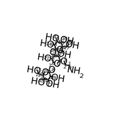 NCCO[C@@H]1O[C@H](CO[C@H]2O[C@H](CO)[C@@H](O)[C@H](O)[C@@H]2O)[C@@H](O)[C@H](O[C@H]2O[C@H](CO)[C@@H](O)[C@H](O)[C@@H]2O)[C@@H]1O